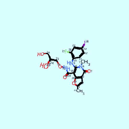 Cc1cc2c(=O)n(C)c(Nc3ccc(I)cc3F)c(C(=O)NOCC(O)CO)c2o1